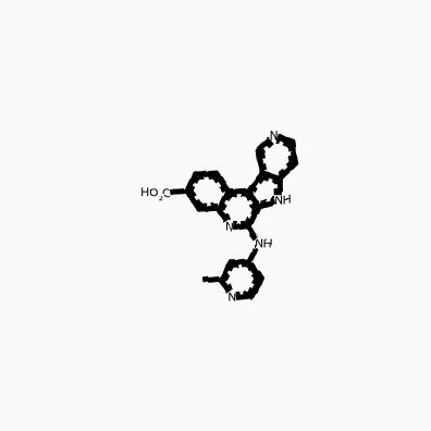 Cc1cc(Nc2nc3cc(C(=O)O)ccc3c3c2[nH]c2ccncc23)ccn1